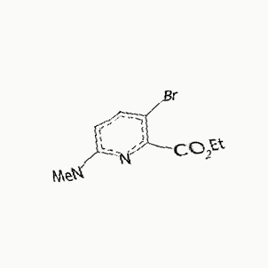 CCOC(=O)c1nc(NC)ccc1Br